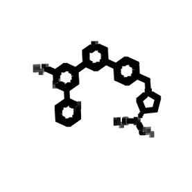 CN(C)[C@H]1CCN(Cc2ccc(-c3cncc(-c4cc(N)nc(-c5ccccn5)c4)c3)cc2)C1